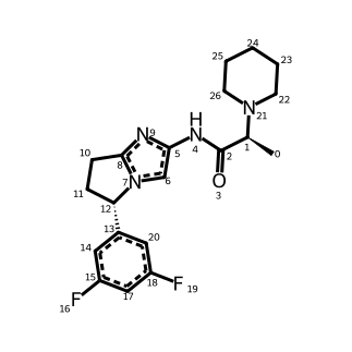 C[C@@H](C(=O)Nc1cn2c(n1)CC[C@H]2c1cc(F)cc(F)c1)N1CCCCC1